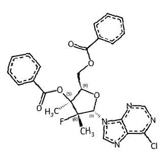 C[C@]1(F)[C@@H](n2cnc3c(Cl)ncnc32)O[C@H](COC(=O)c2ccccc2)[C@]1(C)OC(=O)c1ccccc1